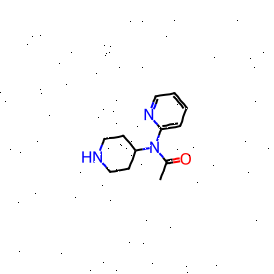 CC(=O)N(c1ccccn1)C1CCNCC1